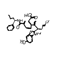 C=C(/C=C\C(=C\C(=O)O)C(=C)/C(=C\C=C\Cl)c1nc2cc(O)ccc2[nH]1)C(=O)N[C@H](CCC)c1ccccc1